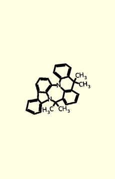 CC1(C)c2ccccc2N2c3c1cccc3C(C)(C)n1c3ccccc3c3cccc2c31